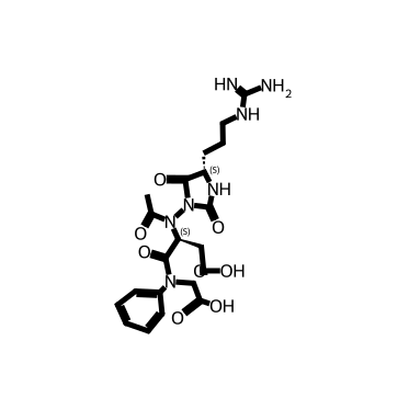 CC(=O)N([C@@H](CC(=O)O)C(=O)N(CC(=O)O)c1ccccc1)N1C(=O)N[C@@H](CCCNC(=N)N)C1=O